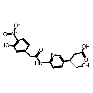 CC[C@@H](CC(=O)O)c1ccc(NC(=O)Cc2ccc([N+](=O)[O-])c(O)c2)nc1